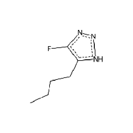 CCCCc1[nH]nnc1F